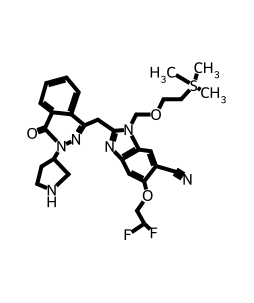 CS(C)(C)CCOCn1c(Cc2nn(C3CCNC3)c(=O)c3ccccc23)nc2cc(OCC(F)F)c(C#N)cc21